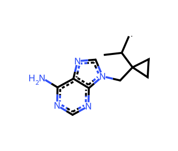 [CH2]C(C)C1(Cn2cnc3c(N)ncnc32)CC1